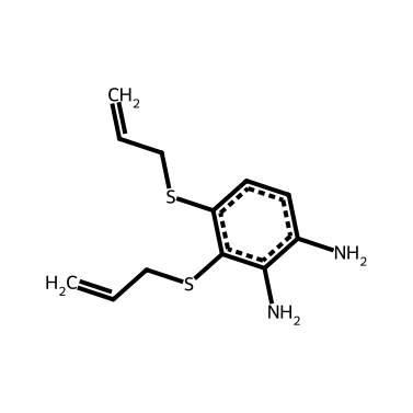 C=CCSc1ccc(N)c(N)c1SCC=C